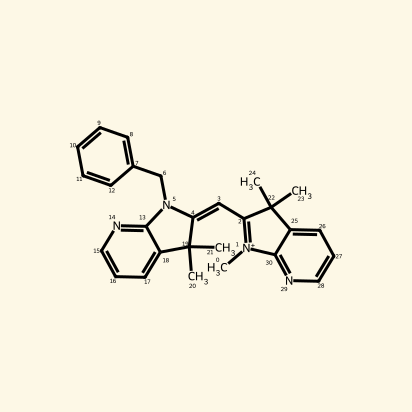 C[N+]1=C(C=C2N(Cc3ccccc3)c3ncccc3C2(C)C)C(C)(C)c2cccnc21